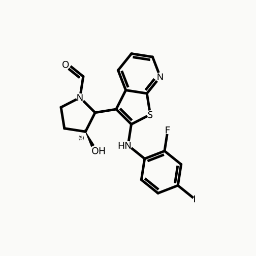 O=CN1CC[C@H](O)C1c1c(Nc2ccc(I)cc2F)sc2ncccc12